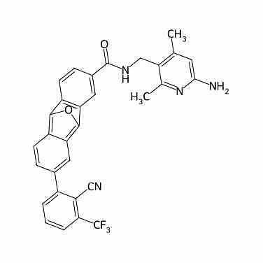 Cc1cc(N)nc(C)c1CNC(=O)c1ccc2c(c1)c1oc2c2ccc(-c3cccc(C(F)(F)F)c3C#N)cc21